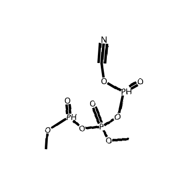 CO[PH](=O)OP(=O)(OC)O[PH](=O)OC#N